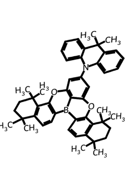 CC1(C)CCC(C)(C)c2c1ccc1c2Oc2cc(N3c4ccccc4C(C)(C)c4ccccc43)cc3c2B1c1ccc2c(c1O3)C(C)(C)CCC2(C)C